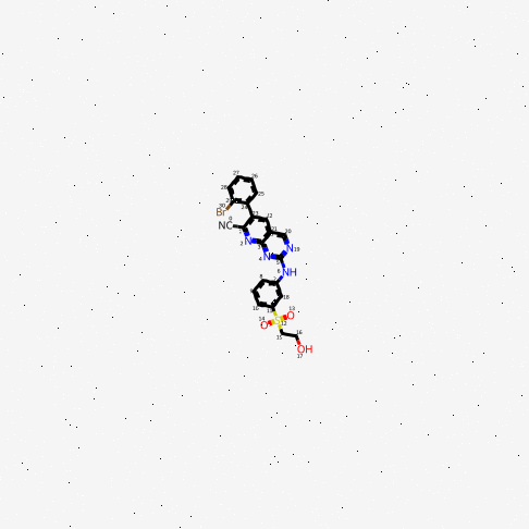 N#Cc1nc2nc(Nc3cccc(S(=O)(=O)CCO)c3)ncc2cc1-c1ccccc1Br